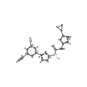 C[C@@H](C(=O)Nc1cc(C2CC2)[nH]n1)c1cnn(-c2cc(Cl)cc(C#N)c2)c1